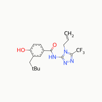 C=CCn1c(NC(=O)c2ccc(O)c(CC(C)(C)C)c2)nnc1C(F)(F)F